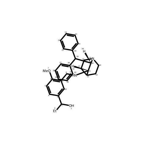 CCC(O)c1ccc(OC)c(CN[C@H]2C3CCN(CC3)[C@H]2C(c2ccccc2)c2ccccc2)c1